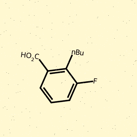 [CH2]CCCc1c(F)cccc1C(=O)O